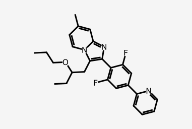 CCCOC(CC)Cc1c(-c2c(F)cc(-c3ccccn3)cc2F)nc2cc(C)ccn12